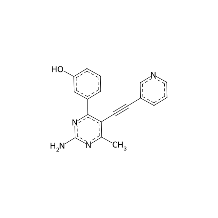 Cc1nc(N)nc(-c2cccc(O)c2)c1C#Cc1cccnc1